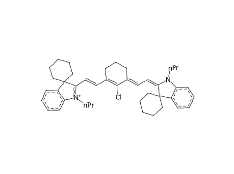 CCCN1/C(=C/C=C2\CCCC(/C=C/C3=[N+](CCC)c4ccccc4C34CCCCC4)=C2Cl)C2(CCCCC2)c2ccccc21